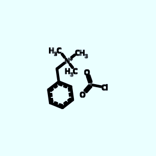 C[N+](C)(C)Cc1ccccc1.O=I(=O)Cl